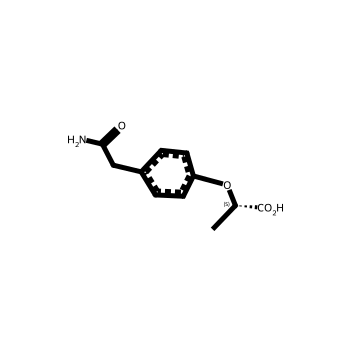 C[C@H](Oc1ccc(CC(N)=O)cc1)C(=O)O